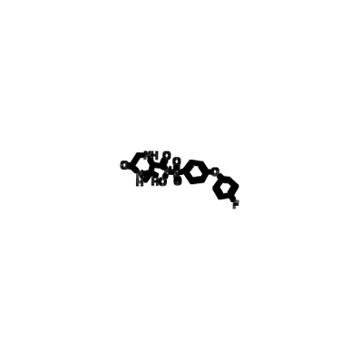 CC1(C)NC(=O)CNC1C(=O)N(O)S(=O)(=O)c1ccc(Oc2ccc(F)cc2)cc1